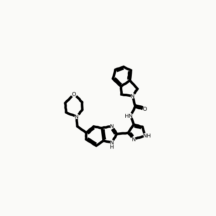 O=C(Nc1c[nH]nc1-c1nc2cc(CN3CCOCC3)ccc2[nH]1)N1Cc2ccccc2C1